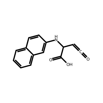 O=C=CC(Nc1ccc2ccccc2c1)C(=O)O